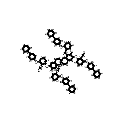 [C-]#[N+]c1c(Oc2ccc(-c3ccccc3)cc2)cccc1Oc1cc2c(cc1Oc1cccc(Oc3ccc(-c4ccccc4)cc3)c1[N+]#[C-])CC1(CCc3cc(Oc4cccc(Oc5ccc(-c6ccccc6)cc5)c4C#N)c(Oc4cccc(Oc5ccc(-c6ccccc6)cc5)c4C#N)cc3C1)CC2